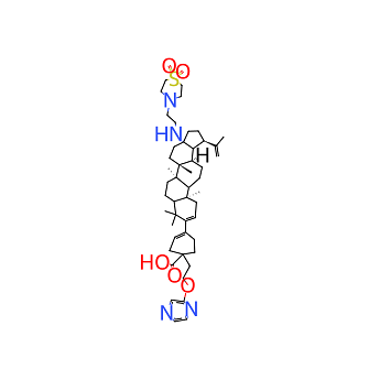 C=C(C)[C@@H]1CC[C@]2(NCCN3CCS(=O)(=O)CC3)CC[C@]3(C)[C@H](CCC4[C@@]5(C)CC=C(C6=CCC(CCOc7cnccn7)(C(=O)O)CC6)C(C)(C)C5CC[C@]43C)C12